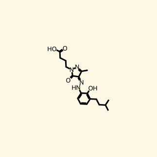 CC1=NN(CCCC(=O)O)C(=O)/C1=N\Nc1cccc(CCC(C)C)c1O